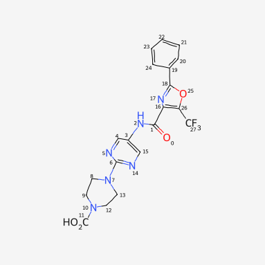 O=C(Nc1cnc(N2CCN(C(=O)O)CC2)nc1)c1nc(-c2ccccc2)oc1C(F)(F)F